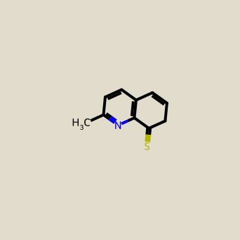 Cc1ccc2c(n1)C(=S)CC=C2